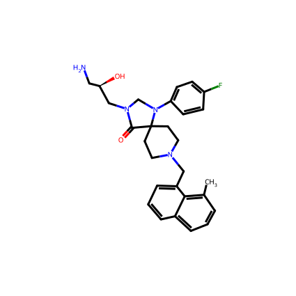 Cc1cccc2cccc(CN3CCC4(CC3)C(=O)N(C[C@H](O)CN)CN4c3ccc(F)cc3)c12